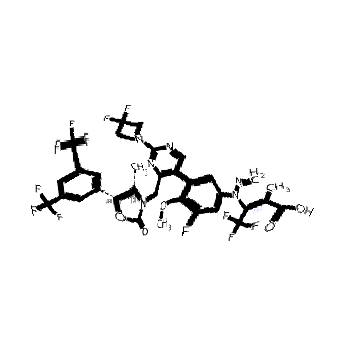 C=NN(/C(=C(\C)C(=O)O)C(F)(F)F)c1cc(F)c(OC)c(-c2cnc(N3CC(F)(F)C3)nc2CN2C(=O)O[C@H](c3cc(C(F)(F)F)cc(C(F)(F)F)c3)[C@@H]2C)c1